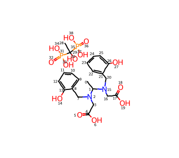 CC(N(CC(=O)O)Cc1ccccc1O)N(CC(=O)O)Cc1ccccc1O.CC(O)(P(=O)(O)O)P(=O)(O)O